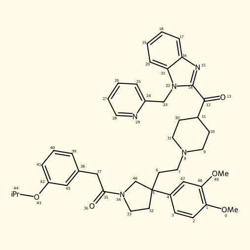 COc1ccc(C2(CCN3CCC(C(=O)c4nc5ccccc5n4Cc4ccccn4)CC3)CCN(C(=O)Cc3cccc(OC(C)C)c3)C2)cc1OC